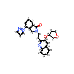 O=C1c2cccc(-n3cccn3)c2CN1CCc1nc2ccccc2cc1OC1CCOC1